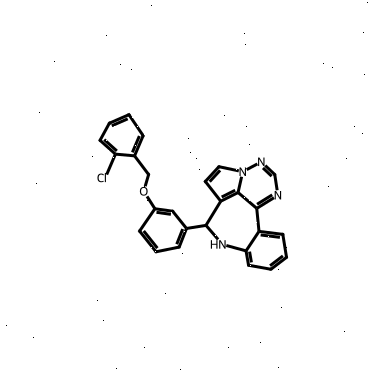 Clc1ccccc1COc1cccc(C2Nc3ccccc3-c3ncnn4ccc2c34)c1